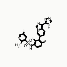 Cc1ncc(F)cc1S(=O)(=O)Nc1ccc(F)c(-c2ccc3c(-c4nnc[nH]4)ncn3c2)c1F